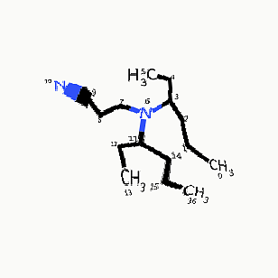 CCCC(CC)N(CCC#N)C(CC)CCC